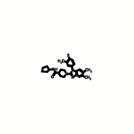 Cc1cc2nc(N3CCC(C(=O)NC4CCCC4)CC3)n(-c3ccc(F)c(C)c3)c2cc1C